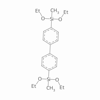 CCO[Si](C)(OCC)c1ccc(-c2ccc([Si](C)(OCC)OCC)cc2)cc1